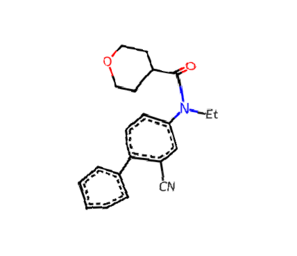 CCN(C(=O)C1CCOCC1)c1ccc(-c2ccccc2)c(C#N)c1